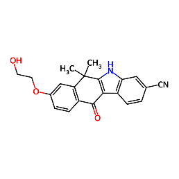 CC1(C)c2cc(OCCO)ccc2C(=O)c2c1[nH]c1cc(C#N)ccc21